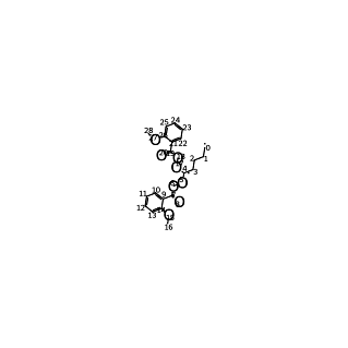 [CH2]CCC[C](OOC(=O)c1ccccc1OC)OOC(=O)c1ccccc1OC